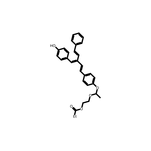 CCC(=O)OCCOC(C)Oc1ccc(C=CC(C=Cc2ccccc2)=Cc2ccc(O)cc2)cc1